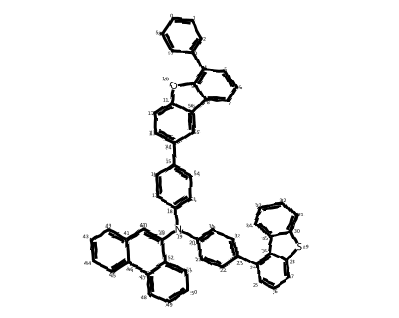 c1ccc(-c2cccc3c2oc2ccc(-c4ccc(N(c5ccc(-c6cccc7sc8ccccc8c67)cc5)c5cc6ccccc6c6ccccc56)cc4)cc23)cc1